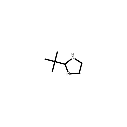 CC(C)(C)C1N[CH]CN1